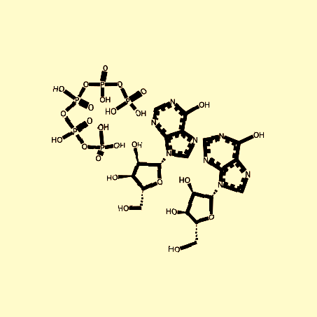 O=P(O)(O)OP(=O)(O)OP(=O)(O)OP(=O)(O)OP(=O)(O)O.OC[C@H]1O[C@@H](n2cnc3c(O)ncnc32)[C@H](O)[C@@H]1O.OC[C@H]1O[C@@H](n2cnc3c(O)ncnc32)[C@H](O)[C@@H]1O